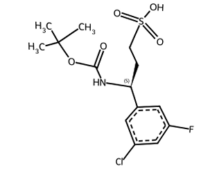 CC(C)(C)OC(=O)N[C@@H](CCS(=O)(=O)O)c1cc(F)cc(Cl)c1